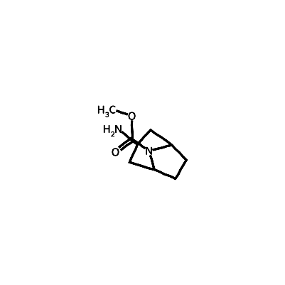 COC(=O)N1C2CCC1CC(N)C2